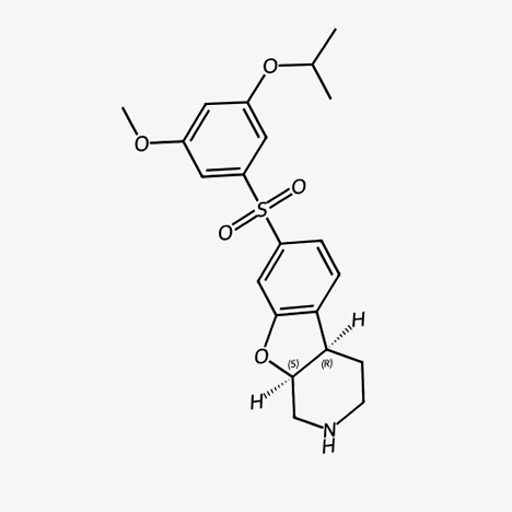 COc1cc(OC(C)C)cc(S(=O)(=O)c2ccc3c(c2)O[C@@H]2CNCC[C@H]32)c1